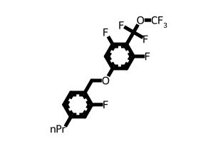 CCCc1ccc(COc2cc(F)c(C(F)(F)OC(F)(F)F)c(F)c2)c(F)c1